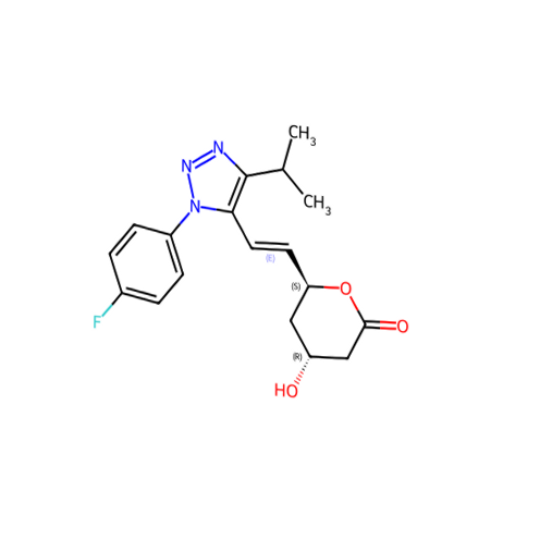 CC(C)c1nnn(-c2ccc(F)cc2)c1/C=C/[C@@H]1C[C@@H](O)CC(=O)O1